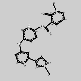 Cn1ncc(-c2cc(Oc3ccc(NC(=O)c4cccn(C)c4=O)nc3)ccn2)n1